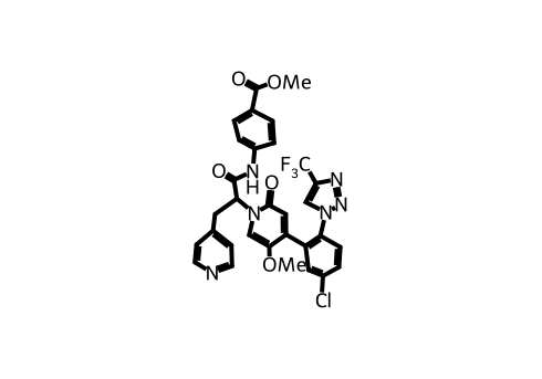 COC(=O)c1ccc(NC(=O)C(Cc2ccncc2)n2cc(OC)c(-c3cc(Cl)ccc3-n3cc(C(F)(F)F)nn3)cc2=O)cc1